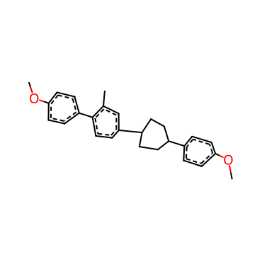 COc1ccc(-c2ccc(C3CCC(c4ccc(OC)cc4)CC3)cc2C)cc1